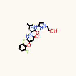 CC(C)C[C@H](C(=O)Nc1ccn(CCO)n1)n1ncc(Oc2c(F)cccc2F)cc1=O